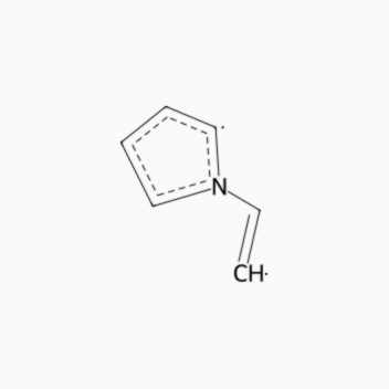 [CH]=Cn1[c]ccc1